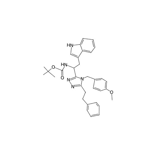 COc1ccc(Cn2c(CCc3ccccc3)nnc2C(Cc2c[nH]c3ccccc23)NC(=O)OC(C)(C)C)cc1